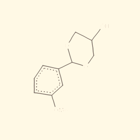 COc1cccc(C2OCC(O)CO2)c1